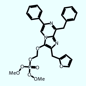 COOP(=O)(OCOc1c(Cc2ccco2)nc2c(Cc3ccccc3)nc(-c3ccccc3)cn12)OOC